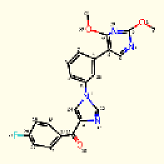 COc1ncc(-c2cccc(-n3cnc(C(=O)c4ccc(F)cc4)c3)c2)c(OC)n1